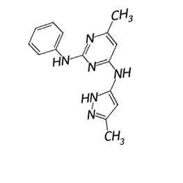 Cc1cc(Nc2cc(C)nc(Nc3ccccc3)n2)[nH]n1